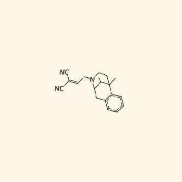 CC1C2Cc3ccccc3C1(C)CCN2CC=C(C#N)C#N